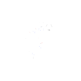 CCC[C@@H](NC(=O)N1C(=O)C(CC)(CC)C1OCC(=O)N(C)CCN(C(C)C)C(C)C)c1ccc(C)cc1